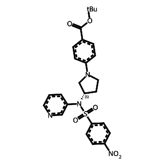 CC(C)(C)OC(=O)c1ccc(N2CC[C@H](N(c3cccnc3)S(=O)(=O)c3ccc([N+](=O)[O-])cc3)C2)cc1